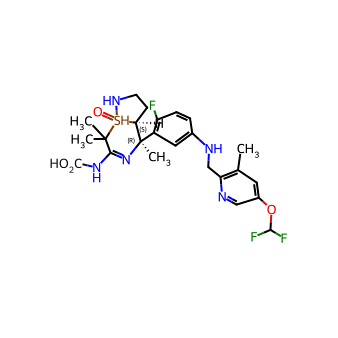 Cc1cc(OC(F)F)cnc1CNc1ccc(F)c([C@@]2(C)N=C(NC(=O)O)C(C)(C)[SH]3(=O)NCC[C@@H]23)c1